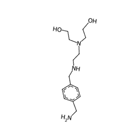 NCc1ccc(CNCCN(CCO)CCO)cc1